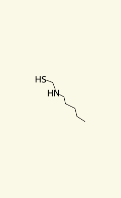 CCCCCNCS